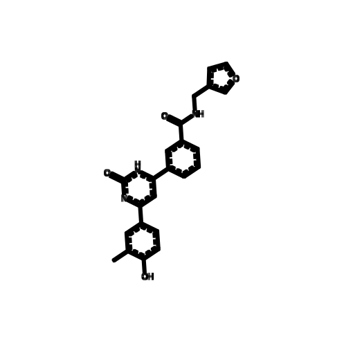 Cc1cc(-c2cc(-c3cccc(C(=O)NCc4ccoc4)c3)[nH]c(=O)n2)ccc1O